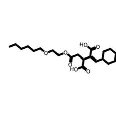 CCCCCCOCCOC(=O)CC(C(=O)O)C(=CC1CCCCC1)C(=O)O